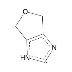 [c]1nc2c([nH]1)COC2